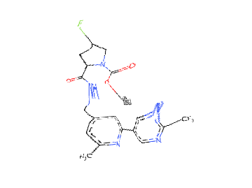 Cc1cc(CNC(=O)C2CC(F)CN2C(=O)OC(C)(C)C)cc(-c2cnc(C(F)(F)F)nc2)n1